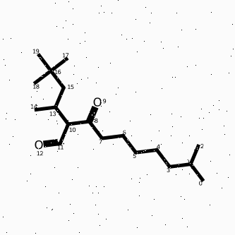 CC(C)CCCCCC(=O)C([C]=O)C(C)CC(C)(C)C